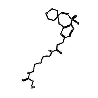 CC(C)(C)OC(=O)NCCOCCNC(=O)CCc1ccc2c(n1)OC1(C=NS2(=O)=O)CCOCC1